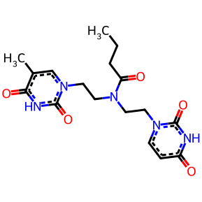 CCCC(=O)N(CCn1ccc(=O)[nH]c1=O)CCn1cc(C)c(=O)[nH]c1=O